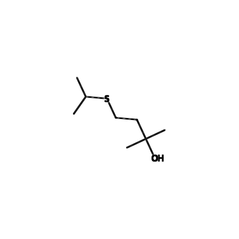 CC(C)SCCC(C)(C)O